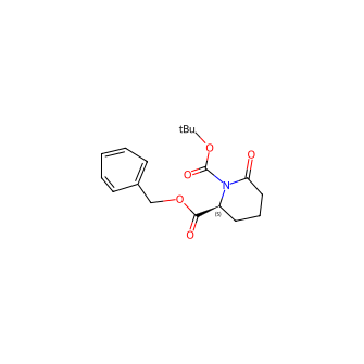 CC(C)(C)OC(=O)N1C(=O)CCC[C@H]1C(=O)OCc1ccccc1